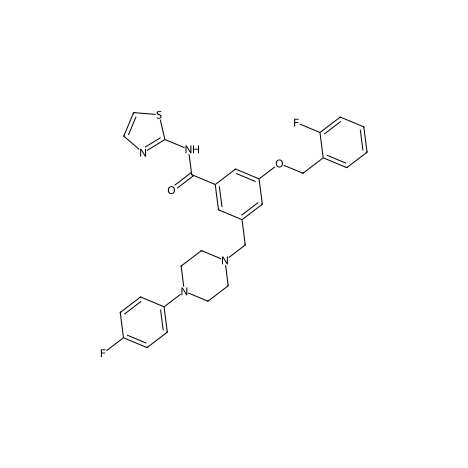 O=C(Nc1nccs1)c1cc(CN2CCN(c3ccc(F)cc3)CC2)cc(OCc2ccccc2F)c1